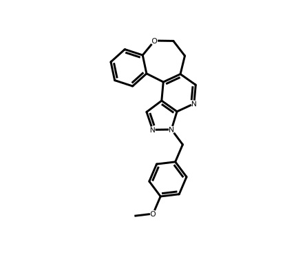 COc1ccc(Cn2ncc3c4c(cnc32)CCOc2ccccc2-4)cc1